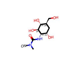 CN(N=O)C(=O)N[C@@H]1[C@@H](O)[C@H](O)[C@@H](CO)C[C@@H]1O